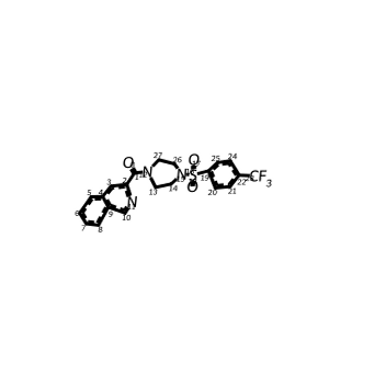 O=C(c1cc2ccccc2cn1)N1CCN(S(=O)(=O)c2ccc(C(F)(F)F)cc2)CC1